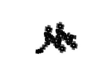 CC1[C@H](O[C@@H]2C(C)[C@H](O[C@@H]3C(C)[C@H](O[C@@H]4C(C)[C@H](OCCCCCN=[N+]=[N-])OC5COC(c6ccccc6)O[C@H]54)OC4COC(c5ccccc5)O[C@H]43)OC3COC(c4ccccc4)O[C@H]32)OC2COC(c3ccccc3)O[C@H]2[C@@H]1O